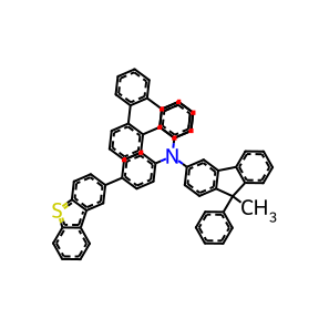 CC1(c2ccccc2)c2ccccc2-c2cc(N(c3ccc(-c4ccc5sc6ccccc6c5c4)cc3)C3C=CC=CC3c3ccccc3-c3ccccc3-c3ccccc3)ccc21